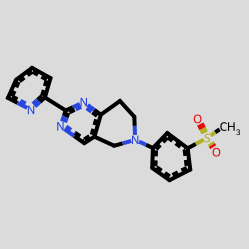 CS(=O)(=O)c1cccc(N2CCc3nc(-c4ccccn4)ncc3C2)c1